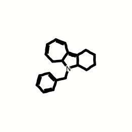 C1=CCC2C(=C3CCCCC3N2Cc2ccccc2)C=C1